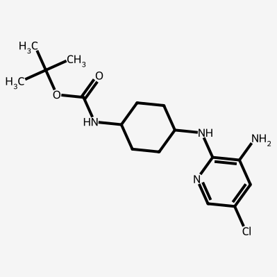 CC(C)(C)OC(=O)NC1CCC(Nc2ncc(Cl)cc2N)CC1